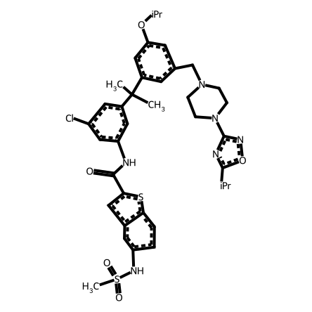 CC(C)Oc1cc(CN2CCN(c3noc(C(C)C)n3)CC2)cc(C(C)(C)c2cc(Cl)cc(NC(=O)c3cc4cc(NS(C)(=O)=O)ccc4s3)c2)c1